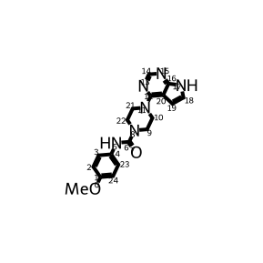 COc1ccc(NC(=O)N2CCN(c3ncnc4[nH]ccc34)CC2)cc1